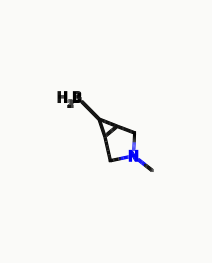 BC1C2CN(C)CC12